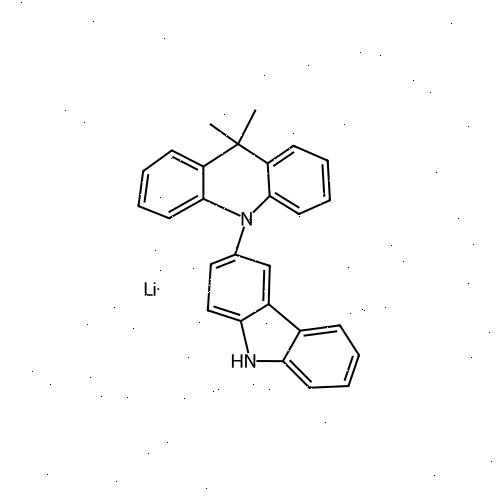 CC1(C)c2ccccc2N(c2ccc3[nH]c4ccccc4c3c2)c2ccccc21.[Li]